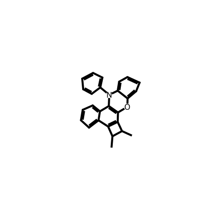 CC1c2c3c(c4ccccc4c2C1C)N(c1ccccc1)c1ccccc1O3